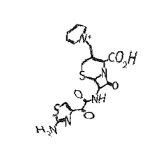 Nc1nc(C(=O)C(=O)NC2C(=O)N3C(C(=O)O)=C(C[n+]4ccccc4)CSC23)cs1